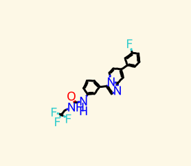 O=C(NCC(F)(F)F)Nc1cccc(-c2cnc3cc(-c4cccc(F)c4)ccn23)c1